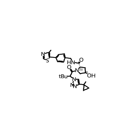 Cc1ncsc1-c1ccc(CNC(=O)[C@@H]2C[C@@H](O)CN2C(=O)C(n2cc(C3(C)CC3)nn2)C(C)(C)C)cc1